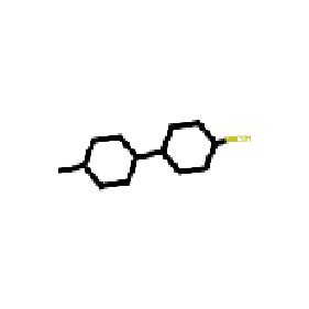 CC1CCC(C2CCC(S)CC2)CC1